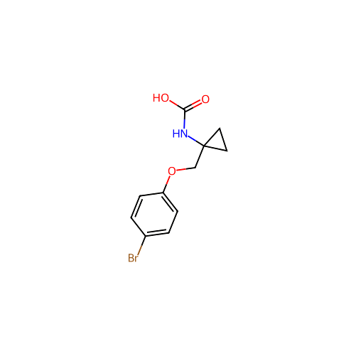 O=C(O)NC1(COc2ccc(Br)cc2)CC1